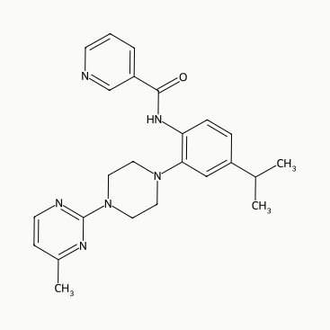 Cc1ccnc(N2CCN(c3cc(C(C)C)ccc3NC(=O)c3cccnc3)CC2)n1